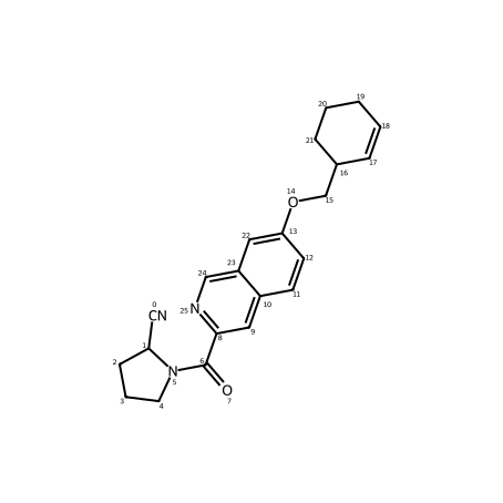 N#CC1CCCN1C(=O)c1cc2ccc(OCC3C=CCCC3)cc2cn1